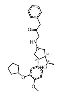 COc1ccc([C@@H]2CN(NCC(=O)Cc3ccccc3)C[C@@]2(C)[C@@H](C)O)cc1OC1CCCC1